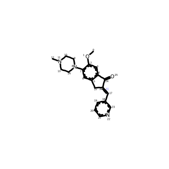 COc1cc2c(cc1N1CCN(C)CC1)C/C(=C\c1cccnc1)C2=O